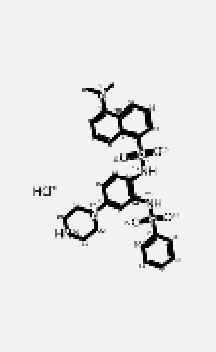 CN(C)c1cccc2c(S(=O)(=O)Nc3ccc(N4CCNCC4)cc3NS(=O)(=O)c3ccccc3)cccc12.Cl